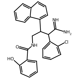 N=C(N)C(c1ccccc1Cl)C(CNC(=O)c1ccccc1O)c1cccc2ccccc12